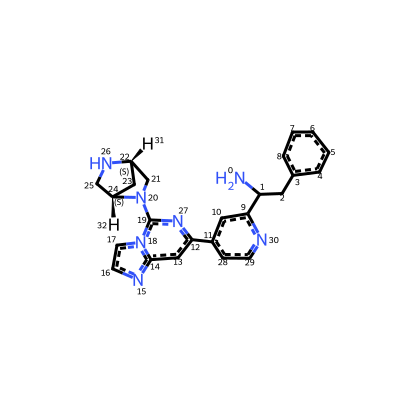 NC(Cc1ccccc1)c1cc(-c2cc3nccn3c(N3C[C@@H]4C[C@H]3CN4)n2)ccn1